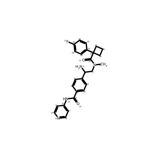 CN(CC(N)c1ccc(C(=O)Nc2ccncc2)cc1)C(=O)C1(c2ccc(F)cc2)CCC1